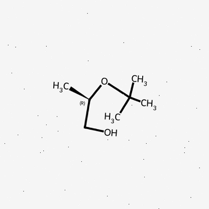 C[C@H](CO)OC(C)(C)C